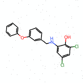 Oc1c(Cl)cc(Cl)cc1NCc1cccc(Oc2ccccc2)c1